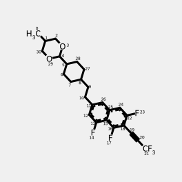 CC1COC(C2CCC(CCc3cc(F)c4c(F)c(C#CC(F)(F)F)c(F)cc4c3)CC2)OC1